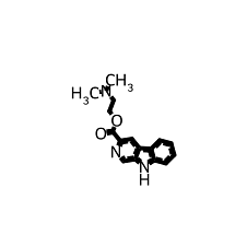 CN(C)CCOC(=O)c1cc2c(cn1)[nH]c1ccccc12